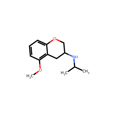 COc1cccc2c1CC(NC(C)C)CO2